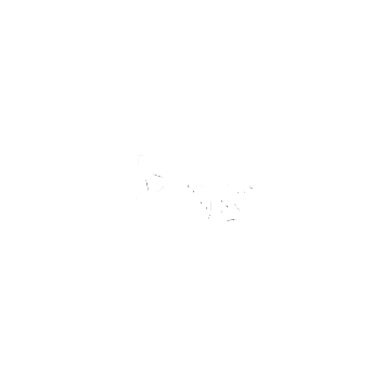 COC(=O)c1cccc(C(=O)NC[C@H]2CC(c3ccc(OC(F)F)c(OCC4CC4)c3)CN2C(C)=O)n1